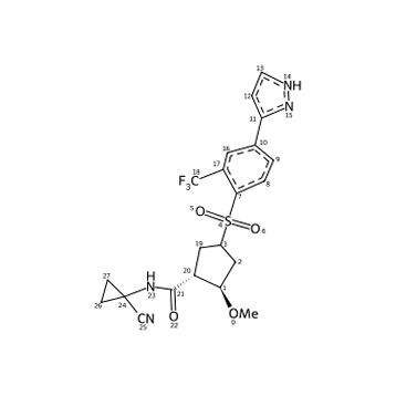 CO[C@@H]1CC(S(=O)(=O)c2ccc(-c3cc[nH]n3)cc2C(F)(F)F)C[C@H]1C(=O)NC1(C#N)CC1